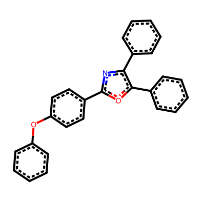 c1ccc(Oc2ccc(-c3nc(-c4ccccc4)c(-c4ccccc4)o3)cc2)cc1